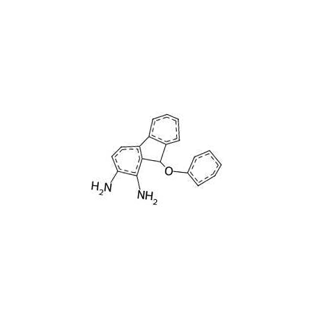 Nc1ccc2c(c1N)C(Oc1ccccc1)c1ccccc1-2